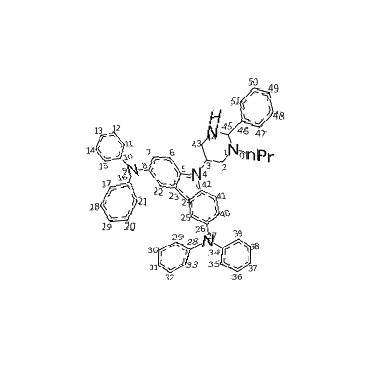 CCCN1CC(n2c3ccc(N(c4ccccc4)c4ccccc4)cc3c3cc(N(c4ccccc4)c4ccccc4)ccc32)CNC1c1ccccc1